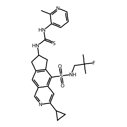 Cc1ncccc1NC(=S)NC1Cc2cc3cnc(C4CC4)cc3c(S(=O)(=O)NCC(C)(C)F)c2C1